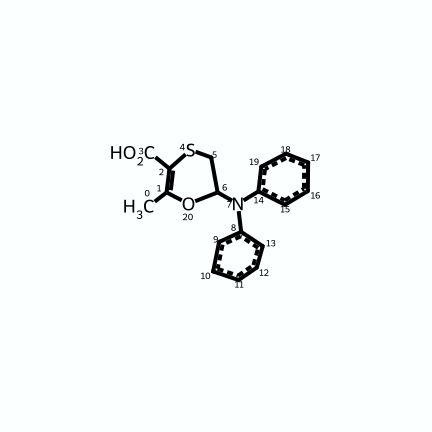 CC1=C(C(=O)O)SCC(N(c2ccccc2)c2ccccc2)O1